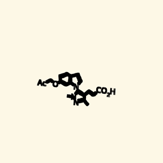 CC(=O)COc1ccc2ccn(-c3c(C=CC(=O)O)c(C)nn3C)c2c1